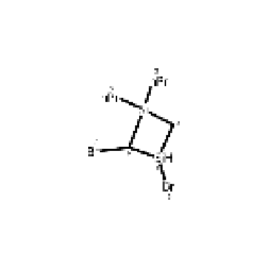 CCC[Si]1(CCC)C[SiH](Br)C1Br